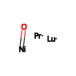 [Lu].[O]=[Ni].[Pr]